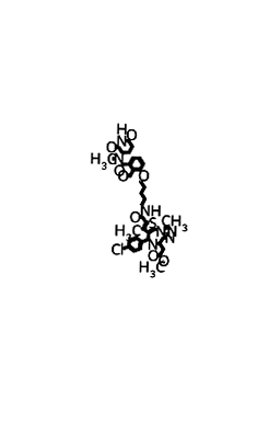 COC(=O)CC1N=C(c2ccc(Cl)cc2)c2c(sc(C(=O)NCCCCCOc3cccc(C(=O)N(C)C4CCC(=O)NC4=O)c3C=O)c2C)-n2c(C)nnc21